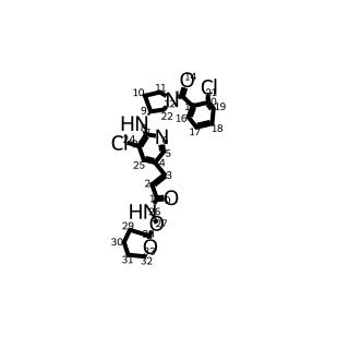 O=C(/C=C/c1cnc(N[C@@H]2CCN(C(=O)c3ccccc3Cl)C2)c(Cl)c1)NOC1CCCCO1